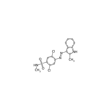 CNS(=O)(=O)c1cc(Cl)c(/N=N/c2c(C)[nH]c3ccccc23)cc1Cl